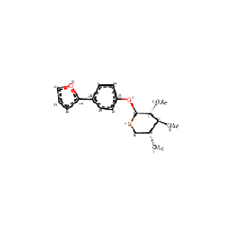 CC(=O)O[C@@H]1[C@@H](OC(C)=O)[C@H](OC(C)=O)CS[C@H]1Oc1ccc(-c2ccco2)cc1